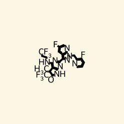 CC1(C(F)(F)F)C(=O)Nc2nc(-c3nn(Cc4ncccc4F)c4ncc(F)cc34)nc(NCCC(F)(F)F)c21